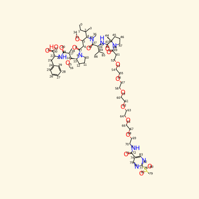 CCC(C)C(C(CC(=O)N1CCC[C@H]1C(OC)C(C)C(=O)NC(Cc1ccccc1)C(=O)O)OC)N(C)C(=O)C(NC(=O)[C@]1(C)CCCN1C(=O)CCOCCOCCOCCOCCOCCOCCNC(=O)c1cnc(S(C)(=O)=O)nc1)C(C)C